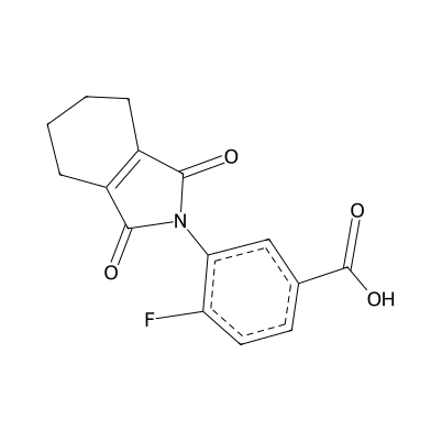 O=C(O)c1ccc(F)c(N2C(=O)C3=C(CCCC3)C2=O)c1